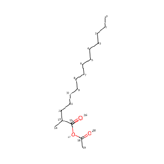 CCCCCCCCCCCCCC(C)C(=O)OC(C)=O